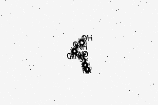 O=C1N=C(Nc2cc(C(=O)N[C@H]3CC[C@H](O)CC3)ccc2Cl)S/C1=C\c1ccc2ncccc2c1